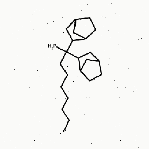 CCCCCCCC(P)(C1CC2CCC1C2)C1CC2CCC1C2